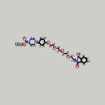 CC(C)(C)OC(=O)N1CCN(c2ccc(OCCOCCOCCOCCN3C(=O)c4ccccc4C3=O)cc2)CC1